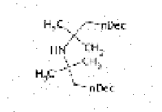 CCCCCCCCCCCC(C)(C)NC(C)(C)CCCCCCCCCCC